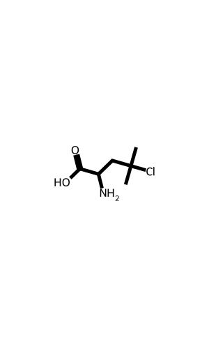 CC(C)(Cl)CC(N)C(=O)O